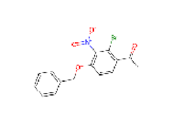 CC(=O)c1ccc(OCc2ccccc2)c([N+](=O)[O-])c1Br